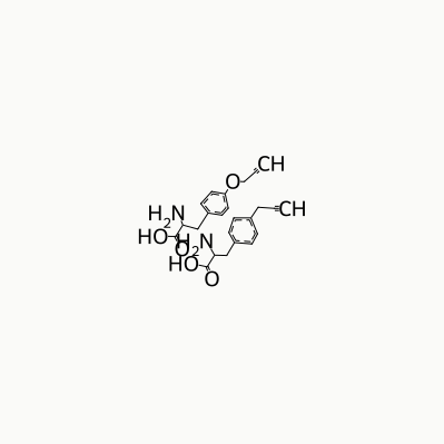 C#CCOc1ccc(CC(N)C(=O)O)cc1.C#CCc1ccc(CC(N)C(=O)O)cc1